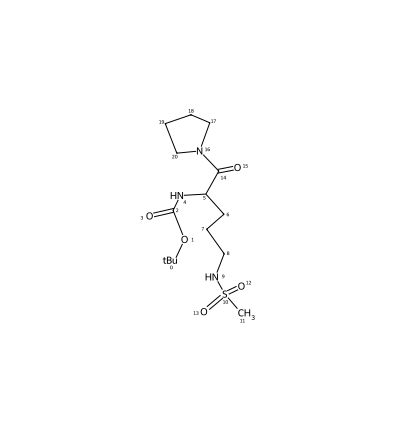 CC(C)(C)OC(=O)NC(CCCNS(C)(=O)=O)C(=O)N1CCCC1